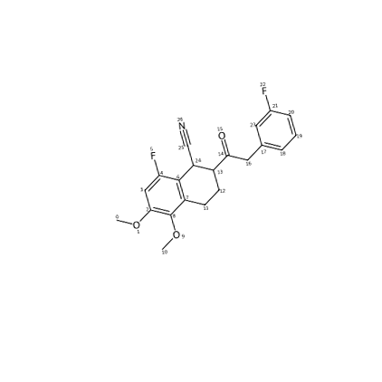 COc1cc(F)c2c(c1OC)CCC(C(=O)Cc1cccc(F)c1)C2C#N